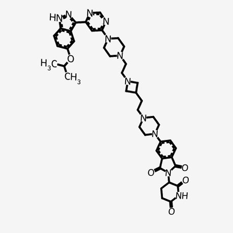 CC(C)Oc1ccc2[nH]nc(-c3cc(N4CCN(CCN5CC(CCN6CCN(c7ccc8c(c7)C(=O)N(C7CCC(=O)NC7=O)C8=O)CC6)C5)CC4)ncn3)c2c1